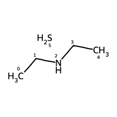 CCNCC.S